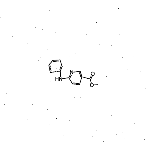 COC(=O)c1ccc(Nc2ccccc2)nc1